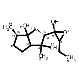 CCC1O[C@@]1(O)[C@H]1CC2(C)C(CC[C@H]2C)C1(C)C